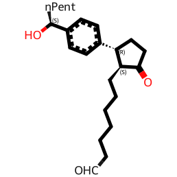 CCCCC[C@H](O)c1ccc([C@@H]2CCC(=O)[C@H]2CCCCCCC=O)cc1